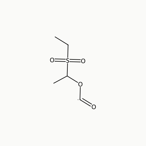 CCS(=O)(=O)C(C)O[C]=O